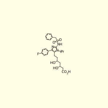 CC(C)n1c(NS(=O)(=O)Cc2ccccc2)nc(-c2ccc(F)cc2)c1CCC(O)CC(O)CC(=O)O